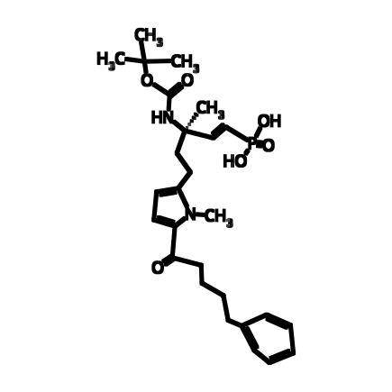 Cn1c(CC[C@](C)(/C=C/P(=O)(O)O)NC(=O)OC(C)(C)C)ccc1C(=O)CCCCc1ccccc1